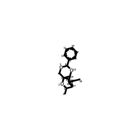 CC1OC23COC(c4ccccc4)OC2C(C)C1OC3